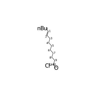 CCCC/C=C/CCCCCCCC(=O)Cl